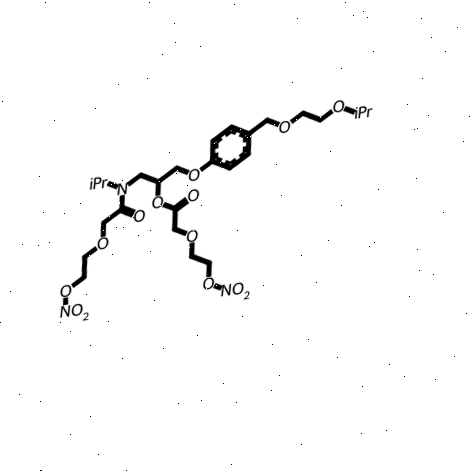 CC(C)OCCOCc1ccc(OCC(CN(C(=O)COCCO[N+](=O)[O-])C(C)C)OC(=O)COCCO[N+](=O)[O-])cc1